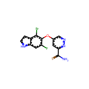 NC(=S)c1cc(Oc2c(F)cc3[nH]ccc3c2Br)cnn1